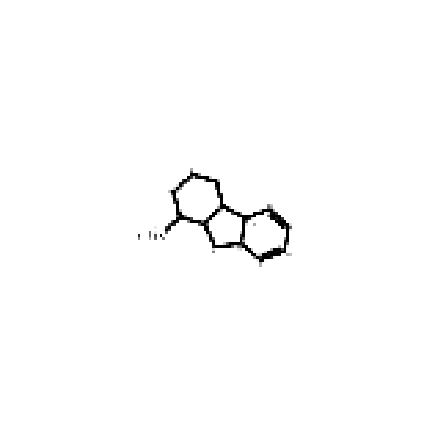 CCCCCCC1CCCC2C1[C]C1C=CC=CC12